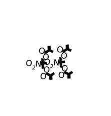 C=C(C)C(=O)OCC(C)(COC(=O)C(=C)C)[N+](=O)[O-].C=C(C)C(=O)OCC(C)(COC(=O)C(=C)C)[N+](=O)[O-]